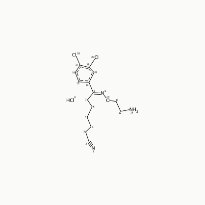 Cl.N#CCCCCCC(=NOCCN)c1ccc(Cl)c(Cl)c1